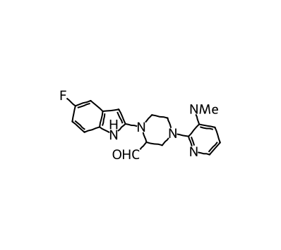 CNc1cccnc1N1CCN(c2cc3cc(F)ccc3[nH]2)C(C=O)C1